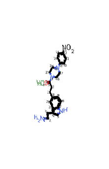 Cl.NCCc1c[nH]c2ccc(CCC(=O)N3CCN(c4ccc([N+](=O)[O-])cc4)CC3)cc12